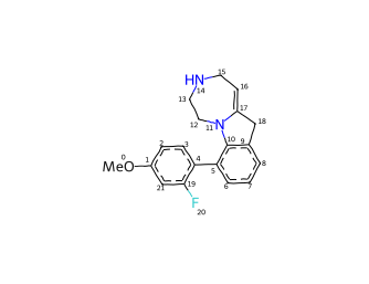 COc1ccc(-c2cccc3c2N2CCNCC=C2C3)c(F)c1